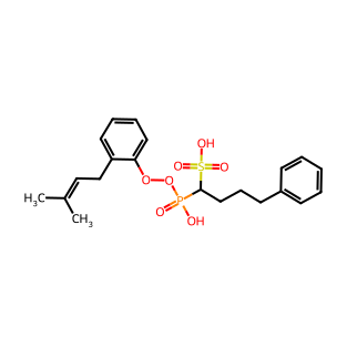 CC(C)=CCc1ccccc1OOP(=O)(O)C(CCCc1ccccc1)S(=O)(=O)O